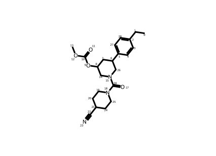 CCc1ccc(C2CC(OC(=O)OC)CN(C(=O)N3CCC(C#N)CC3)C2)cc1